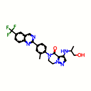 Cc1cc(-c2ncc3cc(C(F)(F)F)ccc3n2)ccc1N1CCn2ncc(NC(C)CO)c2C1=O